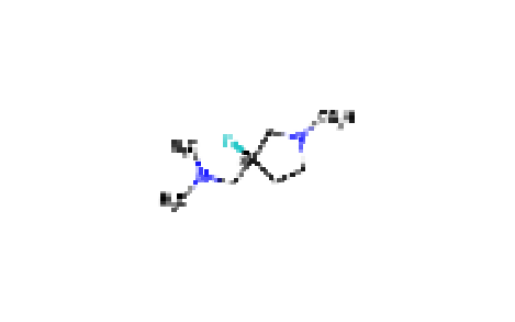 CN(C)C[C@@]1(F)CCN(C(=O)O)C1